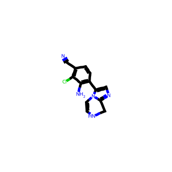 N#Cc1ccc(-c2cnc3n2C=CNC3)c(N)c1Cl